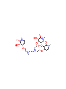 CN(CCOc1ccn(C)c(=O)c1O)CCN(CCOc1ccn(C)c(=O)c1O)CCOc1ccn(C)c(=O)c1O